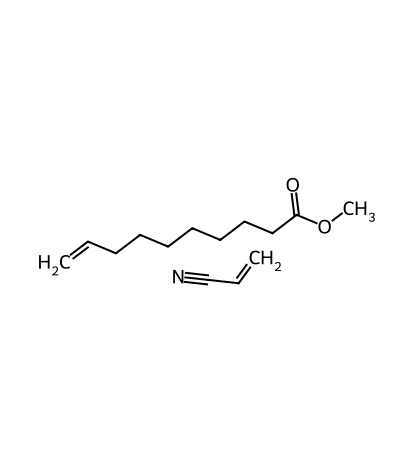 C=CC#N.C=CCCCCCCCC(=O)OC